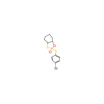 O=P1(Sc2ccc(Br)cc2)OC2CCCCC2S1